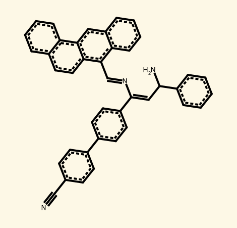 N#Cc1ccc(-c2ccc(C(=C/C(N)c3ccccc3)/N=C/c3c4ccccc4cc4c3ccc3ccccc34)cc2)cc1